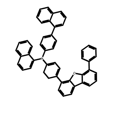 C1=C(c2cccc3c2oc2c(-c4ccccc4)cccc23)CCC(N(c2ccc(-c3cccc4ccccc34)cc2)c2cccc3ccccc23)=C1